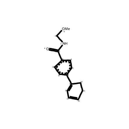 COCNC(=O)c1ccc(C2=CC=CCC2)cc1